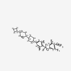 Fc1cc(OC(F)(F)c2c(F)cc(C3CCC(C4CCC(C5CCC5)CO4)CC3)cc2F)cc(F)c1OC(F)(F)F